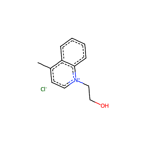 Cc1cc[n+](CCO)c2ccccc12.[Cl-]